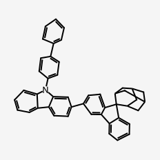 c1ccc(-c2ccc(-n3c4ccccc4c4ccc(-c5ccc6c(c5)-c5ccccc5C65C6CC7CC(C6)CC5C7)cc43)cc2)cc1